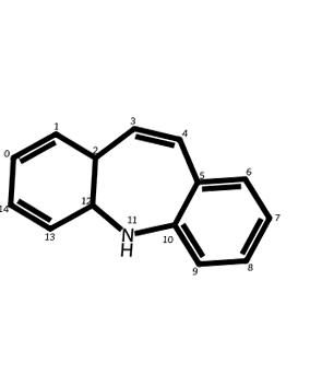 [C]1=CC2C=Cc3ccccc3NC2C=C1